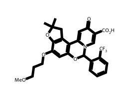 COCCCOc1cc2c(c3c1OC(C)(C)C3)-c1cc(=O)c(C(=O)O)cn1C(c1ccccc1C(F)(F)F)O2